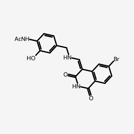 CC(=O)Nc1ccc(CNC=C2C(=O)NC(=O)c3ccc(Br)cc32)cc1O